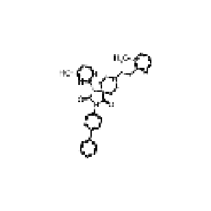 Cc1cccnc1CCN1CCC2(CC1)C(=O)N(c1ccc(-c3ccccc3)cc1)C(=O)N2c1nccc(O)n1